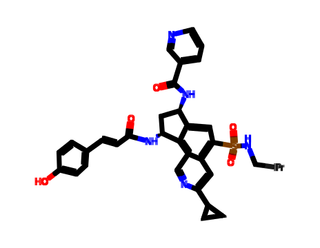 CC(C)CNS(=O)(=O)c1cc2c(c3cnc(C4CC4)cc13)[C@H](NC(=O)/C=C/c1ccc(O)cc1)C[C@H]2NC(=O)c1cccnc1